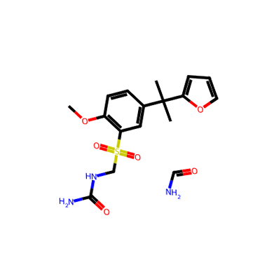 COc1ccc(C(C)(C)c2ccco2)cc1S(=O)(=O)CNC(N)=O.NC=O